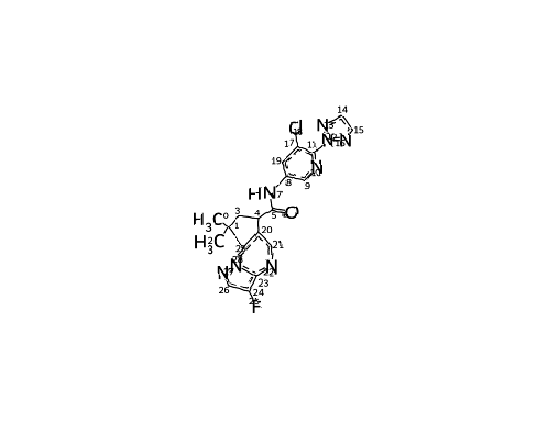 CC1(C)CC(C(=O)Nc2cnc(-n3nccn3)c(Cl)c2)c2cnc3c(F)cnn3c21